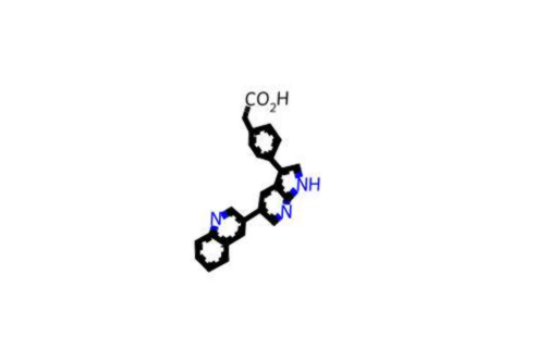 O=C(O)Cc1ccc(-c2c[nH]c3ncc(-c4cnc5ccccc5c4)cc23)cc1